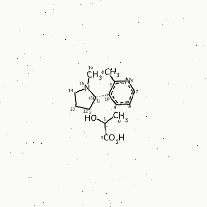 CC(O)C(=O)O.Cc1ncccc1[C@@H]1CCCN1C